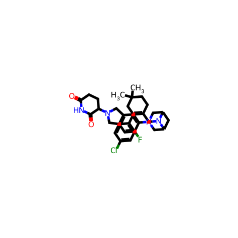 CC1(C)CCC(CN2C3CC2CN(c2cc4c(cc2F)CN(C2CCC(=O)NC2=O)C4)C3)=C(c2ccc(Cl)cc2)C1